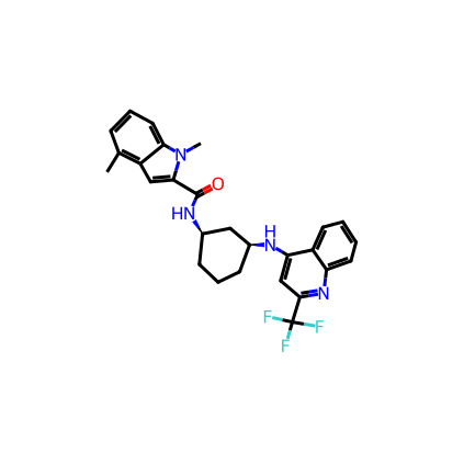 Cc1cccc2c1cc(C(=O)N[C@@H]1CCC[C@H](Nc3cc(C(F)(F)F)nc4ccccc34)C1)n2C